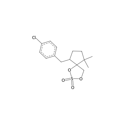 CC1(C)CCC(Cc2ccc(Cl)cc2)C12COS(=O)(=O)O2